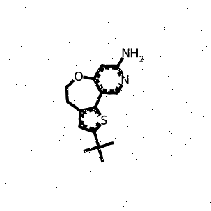 CC(C)(C)c1cc2c(s1)-c1cnc(N)cc1OCC2